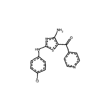 Nc1nc(Nc2ccc(Cl)cc2)sc1C(=O)c1ccncc1